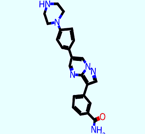 NC(=O)c1cccc(-c2cnn3cc(-c4ccc(N5CCNCC5)cc4)cnc23)c1